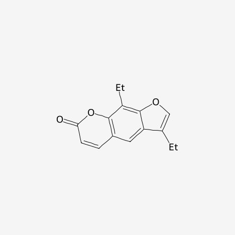 CCc1coc2c(CC)c3oc(=O)ccc3cc12